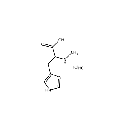 CNC(Cc1c[nH]cn1)C(=O)O.Cl.Cl